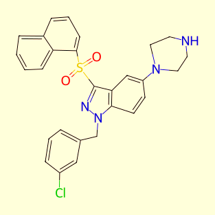 O=S(=O)(c1cccc2ccccc12)c1nn(Cc2cccc(Cl)c2)c2ccc(N3CCNCC3)cc12